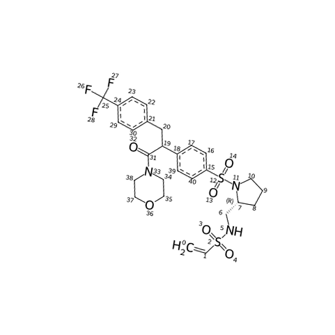 C=CS(=O)(=O)NC[C@H]1CCCN1S(=O)(=O)c1ccc(C(Cc2ccc(C(F)(F)F)cc2)C(=O)N2CCOCC2)cc1